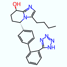 CCCCc1cnc2n1[C@H](c1ccc(-c3ccccc3-c3nnn[nH]3)cc1)CC[C@H]2O